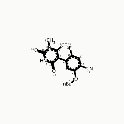 CCCCOc1cc(-c2c(C(F)(F)F)n(C)c(=O)[nH]c2=O)c(F)cc1C#N